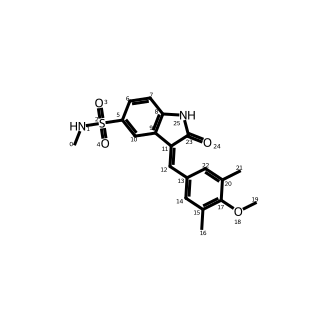 CNS(=O)(=O)c1ccc2c(c1)C(=Cc1cc(C)c(OC)c(C)c1)C(=O)N2